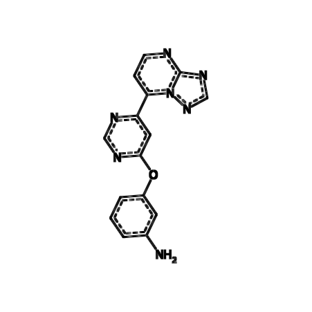 Nc1cccc(Oc2cc(-c3ccnc4ncnn34)ncn2)c1